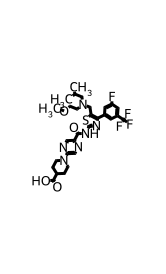 COCCN(Cc1sc(NC(=O)c2cnc(N3CCC(C(=O)O)CC3)cn2)nc1-c1cc(F)cc(C(F)(F)F)c1)CC(C)C